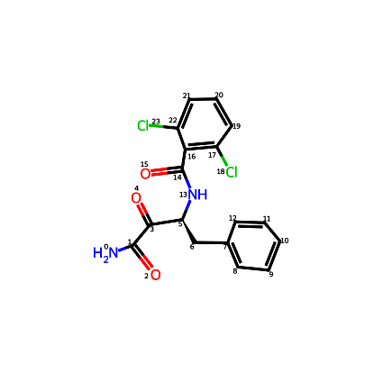 NC(=O)C(=O)[C@H](Cc1ccccc1)NC(=O)c1c(Cl)cccc1Cl